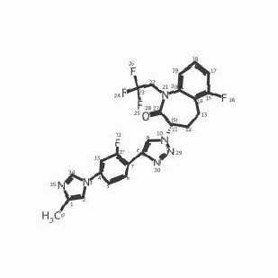 Cc1cn(-c2ccc(-c3cn([C@H]4CCc5c(F)cccc5N(CC(F)(F)F)C4=O)nn3)c(F)c2)cn1